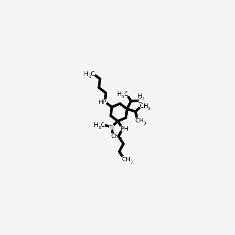 CCCCPC1CC(C(C)C)(C(C)C)C[C](PCCCC)([Ti]([CH3])[CH3])C1